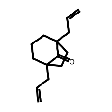 C=CCC12CCCC(CC=C)(CC1)C2=O